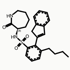 CCCCc1cccc(S(=O)(=O)N[C@@H]2CCCCNC2=O)c1C1=Cc2ccccc2C1